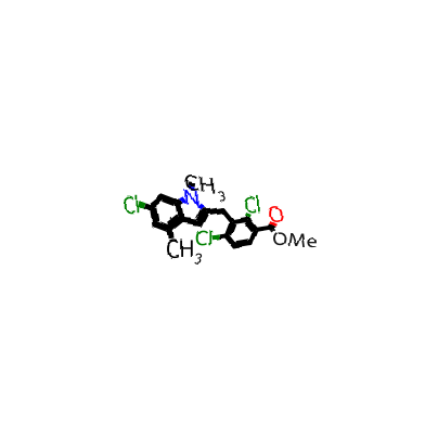 COC(=O)c1ccc(Cl)c(Cc2cc3c(C)cc(Cl)cc3n2C)c1Cl